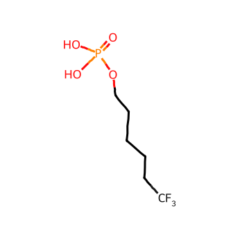 O=P(O)(O)OCCCCCC(F)(F)F